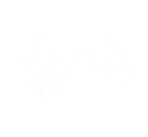 CC1C=CC2(C)C3=C1C(C)C1=C(Cc4ccccc41)C3(C)N(c1ccc(-c3ccc4c(c3)-c3cc5c(c(-c6ccccc6)c3C4)-c3ccccc3C5)cc1)c1ccccc12